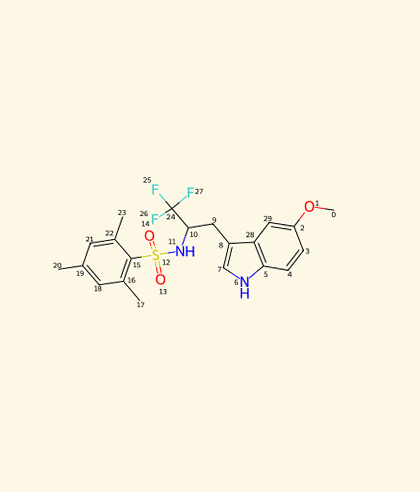 COc1ccc2[nH]cc(CC(NS(=O)(=O)c3c(C)cc(C)cc3C)C(F)(F)F)c2c1